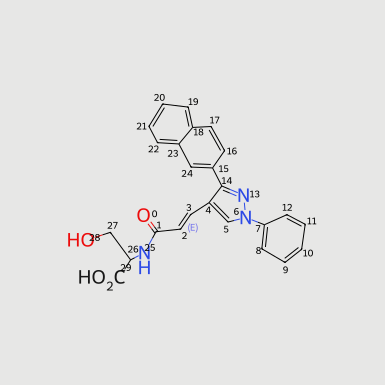 O=C(/C=C/c1cn(-c2ccccc2)nc1-c1ccc2ccccc2c1)NC(CO)C(=O)O